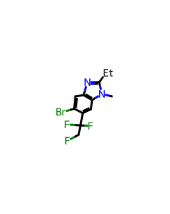 CCc1nc2cc(Br)c(C(F)(F)CF)cc2n1C